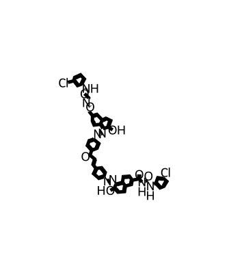 O=C(NC(=O)c1ccc2c(N=Nc3ccc(C=CC(=O)c4ccc(N=Nc5c(O)ccc6cc(CO/N=C/ONc7cccc(Cl)c7)ccc56)cc4)cc3)c(O)ccc2c1)Nc1cccc(Cl)c1